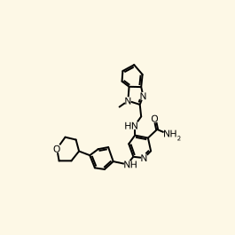 Cn1c(CNc2cc(Nc3ccc(C4CCOCC4)cc3)ncc2C(N)=O)nc2ccccc21